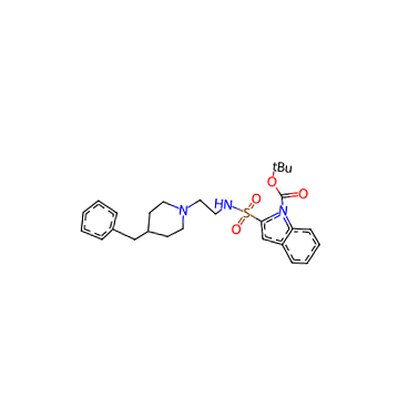 CC(C)(C)OC(=O)n1c(S(=O)(=O)NCCN2CCC(Cc3ccccc3)CC2)cc2ccccc21